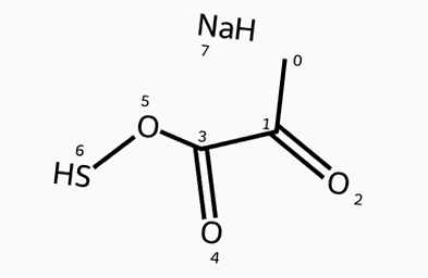 CC(=O)C(=O)OS.[NaH]